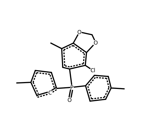 Cc1ccc(P(=O)(c2ccc(C)cc2)c2cc(C)c3c(c2Cl)OCO3)cc1